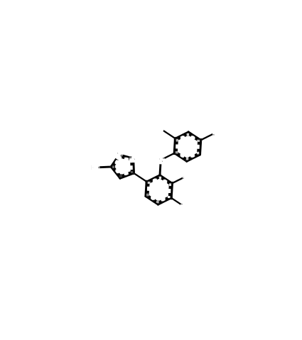 Cc1cc(I)ccc1Nc1c(-c2cc(O)n[nH]2)ccc(F)c1F